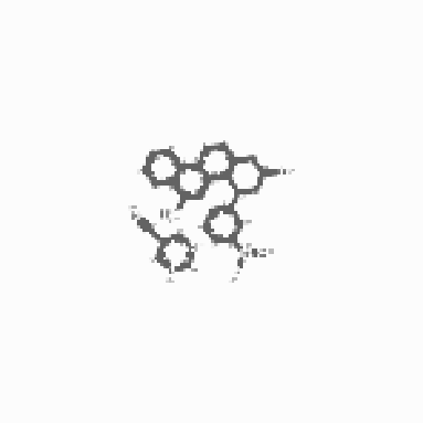 Cc1cc2c3c(ccc2c2ccccc12)CC(=O)CC3c1cccc([N+](=O)[O-])c1.N#Cc1cncnc1